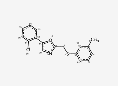 Cc1ccnc(SCc2ncc(-c3ccccc3Cl)o2)n1